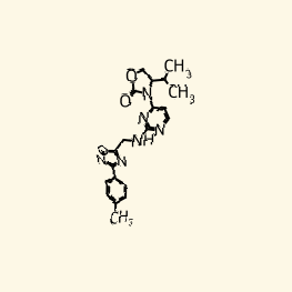 Cc1ccc(-c2noc(CNc3nccc(N4C(=O)OCC4C(C)C)n3)n2)cc1